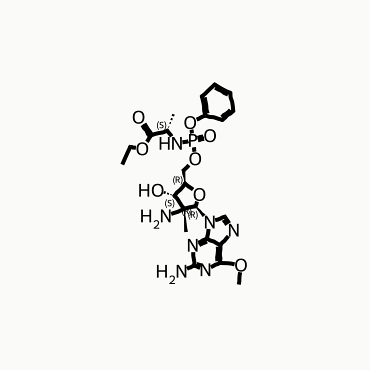 CCOC(=O)[C@H](C)NP(=O)(OC[C@H]1O[C@@H](n2cnc3c(OC)nc(N)nc32)[C@](C)(N)[C@@H]1O)Oc1ccccc1